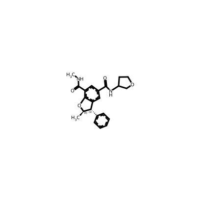 CNC(=O)c1cc(C(=O)NC2CCOC2)cc2c1O[C@H](C)[C@H]2c1ccccc1